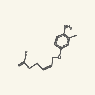 C=C(F)CC/C=C\COc1ccc(N)c(C)c1